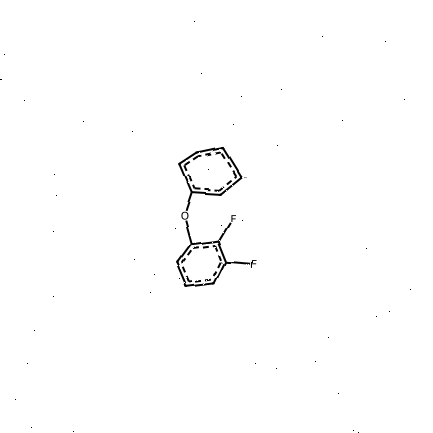 Fc1cccc(Oc2c[c]ccc2)c1F